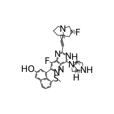 CSc1cccc2cc(O)cc(-c3nnc4c(N5C[C@H]6C[C@@H]5CN6)nc(C#C[C@@]56CCCN5C[C@H](F)C6)nc4c3F)c12